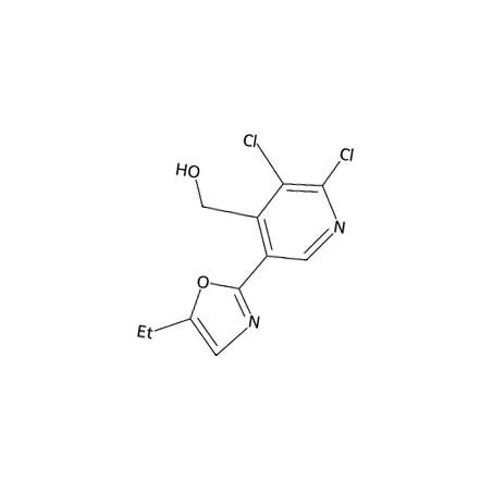 CCc1cnc(-c2cnc(Cl)c(Cl)c2CO)o1